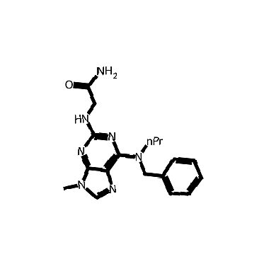 CCCN(Cc1ccccc1)c1nc(NCC(N)=O)nc2c1ncn2C